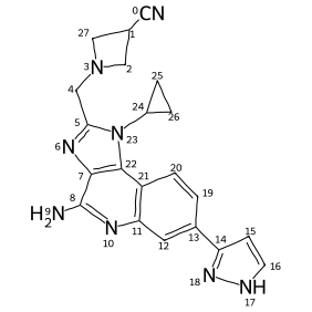 N#CC1CN(Cc2nc3c(N)nc4cc(-c5cc[nH]n5)ccc4c3n2C2CC2)C1